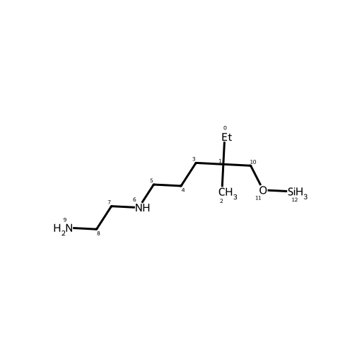 CCC(C)(CCCNCCN)CO[SiH3]